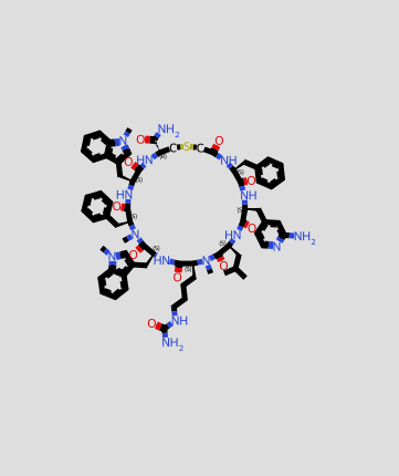 CC(C)C[C@@H]1NC(=O)[C@H](Cc2ccnc(N)c2)NC(=O)[C@H](Cc2ccccc2)NC(=O)CSC[C@@H](C(N)=O)NC(=O)[C@H](Cc2cn(C)c3ccccc23)NC(=O)[C@H](Cc2ccccc2)N(C)C(=O)[C@H](Cc2cn(C)c3ccccc23)NC(=O)[C@H](CCCCNC(N)=O)N(C)C1=O